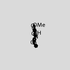 COC(=O)COc1ccc(NC(=O)c2cnc(C3CCN(C(=O)OCc4ccccc4)CC3)s2)cc1